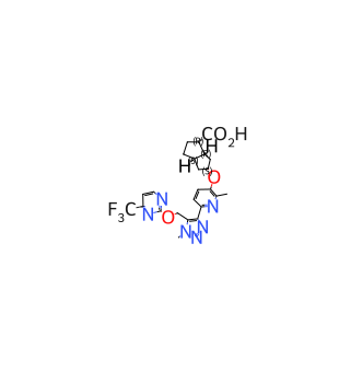 Cc1nc(-c2nnn(C)c2COc2nccc(C(F)(F)F)n2)ccc1O[C@H]1C[C@@H]2CC[C@@H](C(=O)O)[C@@H]2C1